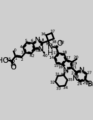 C/C(=C\c1ccc2nc(C3(NC(=O)c4ccc5c(c4)c(C)c(-c4ncc(Br)cn4)n5C4CCCCC4)CCC3)n(C)c2c1)C(=O)O